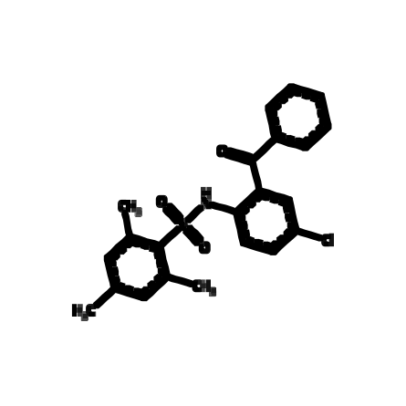 Cc1cc(C)c(S(=O)(=O)Nc2ccc(Cl)cc2C(=O)c2ccccc2)c(C)c1